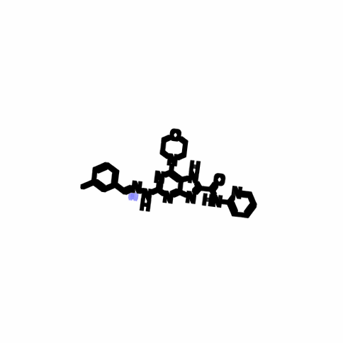 Cc1cccc(/C=N/Nc2nc(N3CCOCC3)c3[nH]c(C(=O)Nc4ccccn4)nc3n2)c1